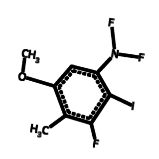 COc1cc(N(F)F)c(I)c(F)c1C